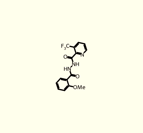 COc1ccccc1C(=O)NNC(=O)c1ncccc1C(F)(F)F